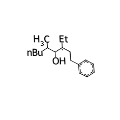 CCCCC(C)C(O)[C](CC)CCc1ccccc1